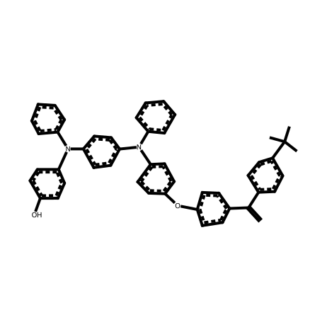 C=C(c1ccc(Oc2ccc(N(c3ccccc3)c3ccc(N(c4ccccc4)c4ccc(O)cc4)cc3)cc2)cc1)c1ccc(C(C)(C)C)cc1